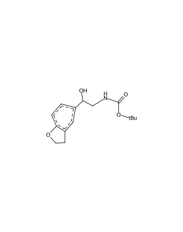 CC(C)(C)OC(=O)NCC(O)c1ccc2c(c1)CCO2